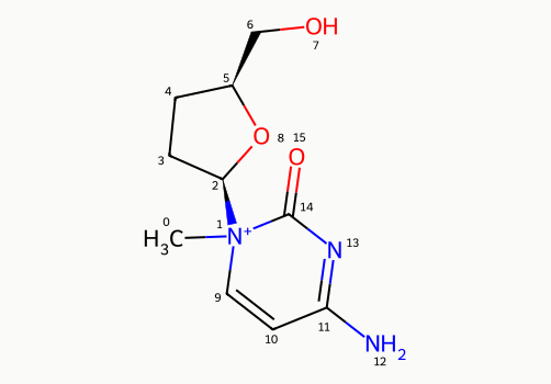 C[N+]1([C@H]2CC[C@@H](CO)O2)C=CC(N)=NC1=O